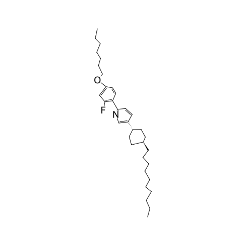 CCCCCCCCCC[C@H]1CC[C@H](c2ccc(-c3ccc(OCCCCCCC)cc3F)nc2)CC1